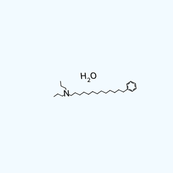 CCCN(CCC)CCCCCCCCCCCCCc1ccccc1.O